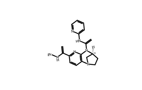 C=C(NC(C)C)c1ccc2c(n1)N(C(=C)Nc1ccccn1)[C@H]1CCN2C1